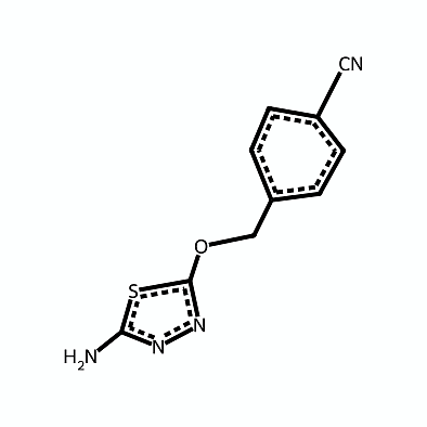 N#Cc1ccc(COc2nnc(N)s2)cc1